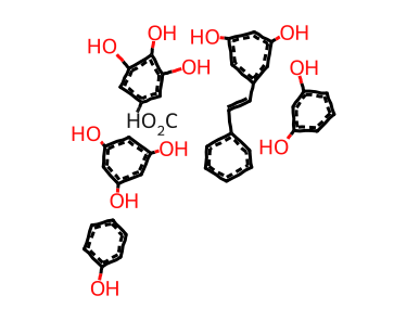 O=C(O)c1cc(O)c(O)c(O)c1.Oc1cc(O)cc(C=Cc2ccccc2)c1.Oc1cc(O)cc(O)c1.Oc1cccc(O)c1.Oc1ccccc1